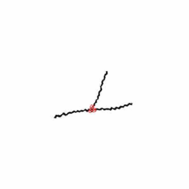 CCCCCCCCCCCCCCCCOB(OCCCCCCCCCCCCCCCC)OCCCCCCCCCCCCCCCC